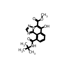 COC(=O)c1c(O)c2cccc(C(=O)NC(C)(C)C)c2c2ncnn12